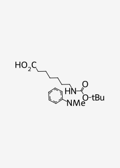 CC(C)(C)OC(=O)NCCCCCCC(=O)O.CNc1ccccc1